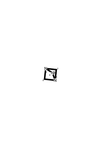 C1N2CN1N2